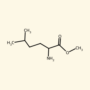 COC(=O)C(N)CCC(C)C